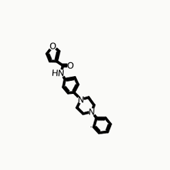 O=C(Nc1ccc(N2CCN(c3[c]cccc3)CC2)cc1)c1ccoc1